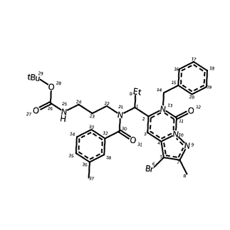 CCC(c1cc2c(Br)c(C)nn2c(=O)n1Cc1ccccc1)N(CCCNC(=O)OC(C)(C)C)C(=O)c1cccc(C)c1